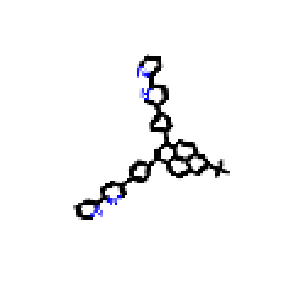 CC(C)(C)c1cc2ccc3c(-c4ccc(-c5ccc(-c6ccccn6)nc5)cc4)cc(-c4ccc(-c5ccc(-c6ccccn6)nc5)cc4)c4ccc(c1)c2c34